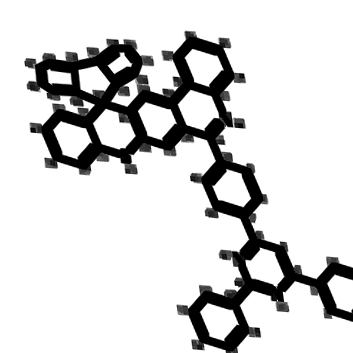 c1ccc(-c2cc(-c3ccc(-c4nc5ccccc5c5cc6c(cc45)Sc4ccccc4C64c5ccccc5-c5ccccc54)cc3)nc(-c3ccccc3)n2)cc1